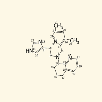 Cc1cnc(CN(CCc2c[nH]cn2)C2CCCc3cccnc32)c(C)c1